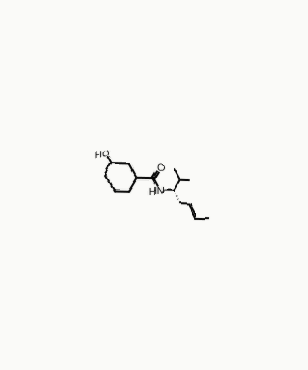 C/C=C/C[C@H](NC(=O)C1CCCC(O)C1)C(C)C